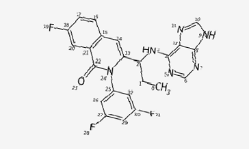 CCC(Nc1ncnc2[nH]cnc12)c1cc2ccc(F)cc2c(=O)n1-c1cc(F)cc(F)c1